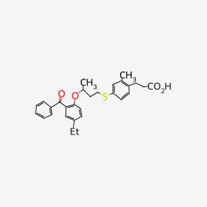 CCc1ccc(OC(C)CCSc2ccc(CCC(=O)O)c(C)c2)c(C(=O)c2ccccc2)c1